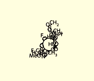 C=CC(=O)N1CC[C@H](C(=O)N(C)[C@H](C(=O)N[C@H]2Cc3cc(F)cc(c3)-c3ccc4c(c3)c(c(-c3cccnc3[C@H](C)OC)n4CC(F)(F)F)CC(C)(C)COC(=O)[C@@H]3CCCN(N3)C2=O)C(C)C)C1